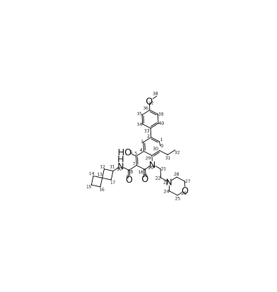 C\C=C(/C=c1/c(O)c(C(=O)NC2CC3(CCC3)C2)c(=O)n(CCN2CCOCC2)/c1=C\CC)c1ccc(OC)cc1